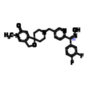 Cn1cc2c(cc1=O)C1(CCN(Cc3ccc(/C(=N\O)c4ccc(F)c(F)c4)nc3)CC1)OC2